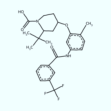 Cc1ccc(NC(=O)c2cccc(C(F)(F)F)c2)cc1OC1CCN(C(=O)O)C(C(C)(C)C)C1